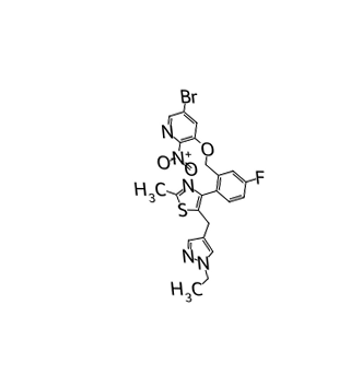 CCn1cc(Cc2sc(C)nc2-c2ccc(F)cc2COc2cc(Br)cnc2[N+](=O)[O-])cn1